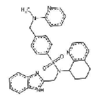 CN(Cc1ccc(S(=O)(=O)N(Cc2nc3ccccc3[nH]2)C2CCCc3cccnc32)cc1)c1ccccn1